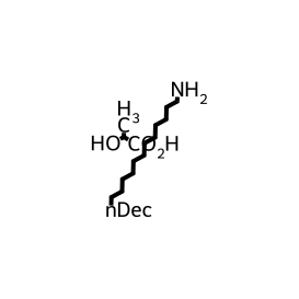 CC(O)C(=O)O.CCCCCCCCCCCCCCCCCCCCCCN